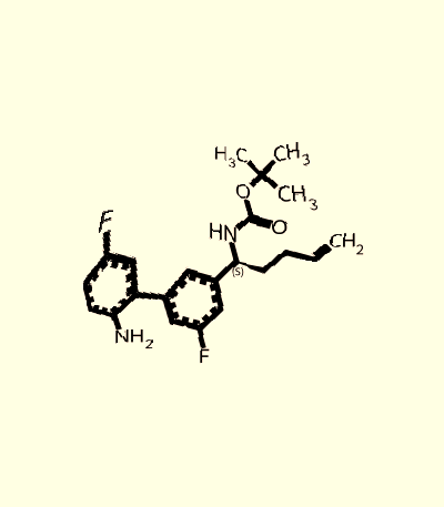 C=CCC[C@H](NC(=O)OC(C)(C)C)c1cc(F)cc(-c2cc(F)ccc2N)c1